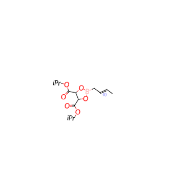 C/C=C/CB1OC(C(=O)OC(C)C)C(C(=O)OC(C)C)O1